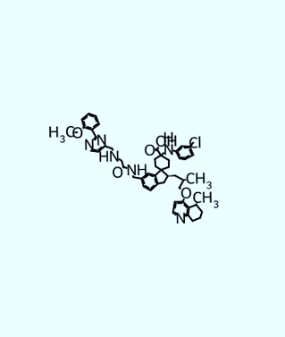 COc1ccccc1-c1nccc(CNCC(=O)NCc2ccc3c(c2)C2(CCC(Nc4cccc(Cl)c4)(C(=O)O)CC2)[C@@H](C[C@@H](C)COc2ccnc4c2[C@H](C)CCC4)C3)n1